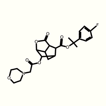 CC(C)(OC(=O)C1C2CC3C(OC(=O)C31)C2OC(=O)CN1CCOCC1)c1ccc(F)cc1